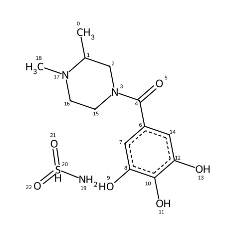 CC1CN(C(=O)c2cc(O)c(O)c(O)c2)CCN1C.N[SH](=O)=O